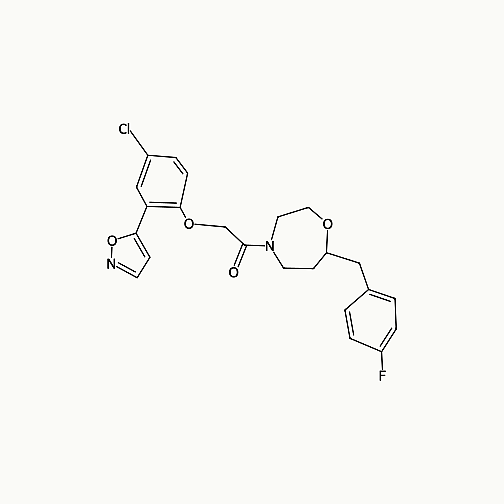 O=C(COc1ccc(Cl)cc1-c1ccno1)N1CCOC(Cc2ccc(F)cc2)CC1